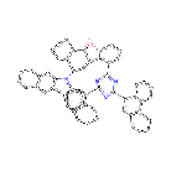 c1ccc(-c2nc(-c3cc4ccccc4c4ccccc34)nc(-c3cccc4oc5c6ccccc6c(-n6c7cc8ccccc8cc7c7cc8ccccc8cc76)cc5c34)n2)cc1